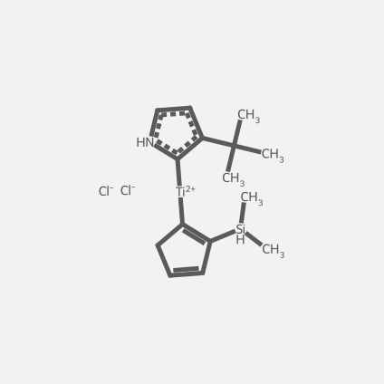 C[SiH](C)C1=[C]([Ti+2][c]2[nH]ccc2C(C)(C)C)CC=C1.[Cl-].[Cl-]